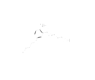 CCCCOCc1cc(OCCCC)ccc1N